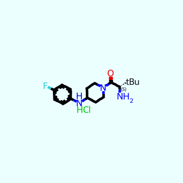 CC(C)(C)[C@H](N)C(=O)N1CCC(Nc2ccc(F)cc2)CC1.Cl